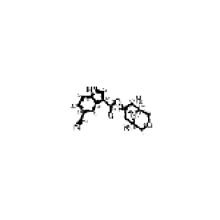 CN1[C@@H]2COC[C@H]1C[C@@H](OC(=O)c1c[nH]c3ccc(C#N)cc13)C2